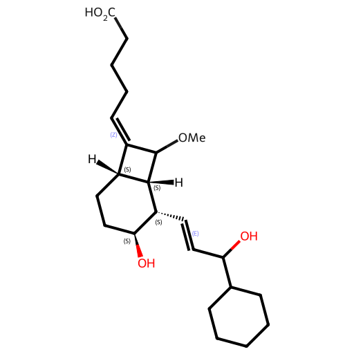 COC1/C(=C\CCCC(=O)O)[C@H]2CC[C@H](O)[C@@H](/C=C/C(O)C3CCCCC3)[C@@H]12